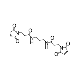 O=C(CCN1C(=O)C=CC1=O)NCCCNC(=O)CCN1C(=O)C=CC1=O